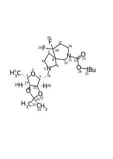 C[C@@H]1O[C@H](CN2CCC3(C2)CN(C(=O)OC(C)(C)C)CCC3(F)F)[C@H]2OC(C)(C)O[C@H]21